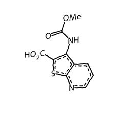 COC(=O)Nc1c(C(=O)O)sc2ncccc12